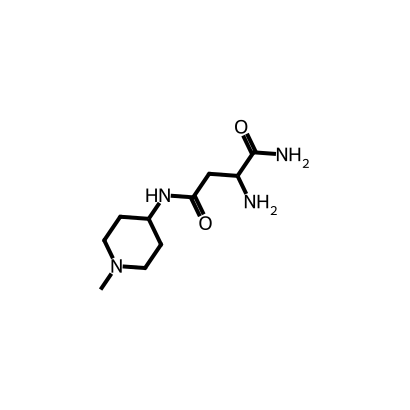 CN1CCC(NC(=O)CC(N)C(N)=O)CC1